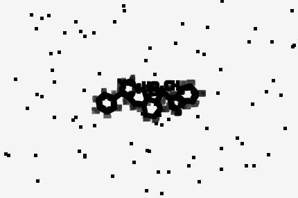 CC12Cn3cnc(-c4ccccc4)c3C=C1CCCC2[C@](C)(O)c1csc2ccccc12